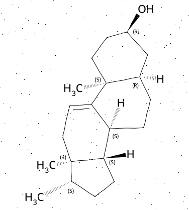 C[C@H]1CC[C@H]2[C@@H]3CC[C@@H]4C[C@H](O)CC[C@]4(C)C3=CC[C@]12C